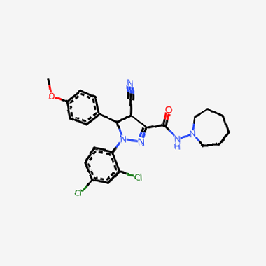 COc1ccc(C2C(C#N)C(C(=O)NN3CCCCCC3)=NN2c2ccc(Cl)cc2Cl)cc1